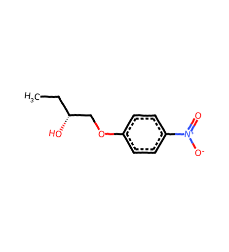 CC[C@@H](O)COc1ccc([N+](=O)[O-])cc1